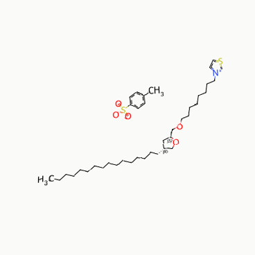 CCCCCCCCCCCCCCCC[C@H]1CO[C@H](COCCCCCCCC[n+]2ccsc2)C1.Cc1ccc(S(=O)(=O)[O-])cc1